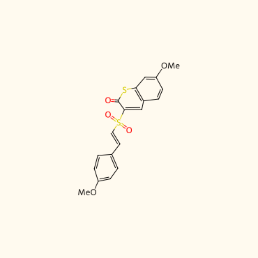 COc1ccc(/C=C/S(=O)(=O)c2cc3ccc(OC)cc3sc2=O)cc1